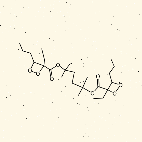 CCCC1OOC1(CC)C(=O)OC(C)(C)CCC(C)(C)OC(=O)C1(CC)OOC1CCC